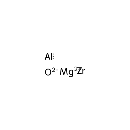 [Al].[Mg+2].[O-2].[Zr]